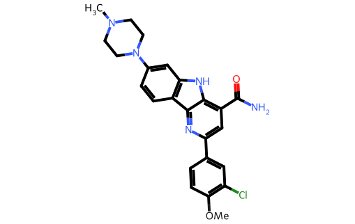 COc1ccc(-c2cc(C(N)=O)c3[nH]c4cc(N5CCN(C)CC5)ccc4c3n2)cc1Cl